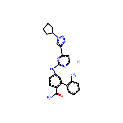 NC(=O)c1ccc(Nc2nccc(-c3cn(C4CCCC4)nn3)n2)cc1-c1ccccc1N.[N]